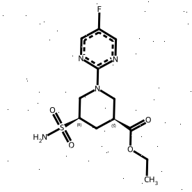 CCOC(=O)[C@H]1C[C@@H](S(N)(=O)=O)CN(c2ncc(F)cn2)C1